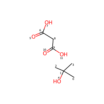 CC(C)(C)O.O=C(O)CC(=O)O